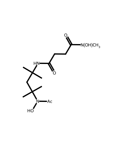 CC(=O)N(O)C(C)(C)CC(C)(C)NC(=O)CCC(=O)N(C)O